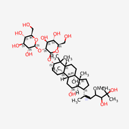 COC(/C=C(/C)[C@H]1CC[C@]2(C)[C@@H]1[C@H](O)C[C@@H]1[C@@]3(C)CC[C@H](O[C@@H]4O[C@H](CO)[C@@H](O)[C@H](O)[C@H]4O[C@@H]4O[C@H](CO)[C@@H](O)[C@H](O)[C@H]4O)C(C)(C)[C@@H]3CC[C@]12C)C(O)C(C)(C)O